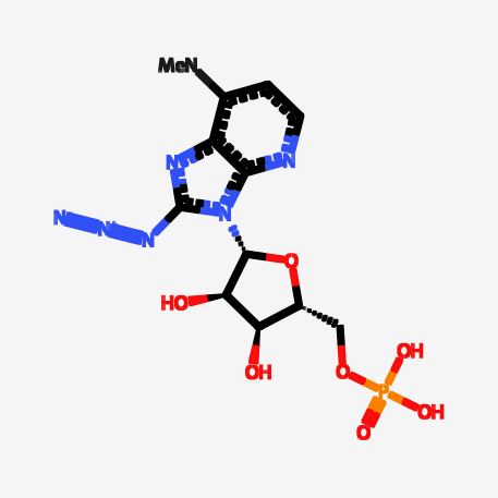 CNc1ccnc2c1nc(N=[N+]=[N-])n2[C@@H]1O[C@H](COP(=O)(O)O)[C@@H](O)[C@H]1O